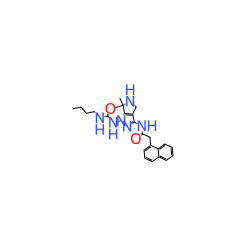 CCCCNC(=O)Nn1nc(NC(=O)Cc2cccc3ccccc23)c2c1C(C)(C)NC2